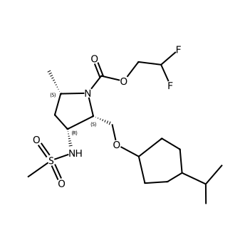 CC(C)C1CCC(OC[C@@H]2[C@H](NS(C)(=O)=O)C[C@H](C)N2C(=O)OCC(F)F)CC1